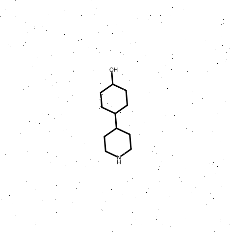 OC1CCC(C2CCNCC2)CC1